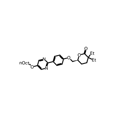 CCCCCCCCOc1cnc(-c2ccc(OC[C@@H]3CCC(CC)(CC)C(=O)O3)cc2)nc1